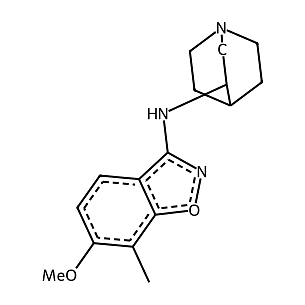 COc1ccc2c(NC3CN4CCC3CC4)noc2c1C